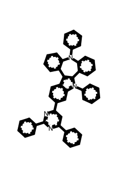 c1ccc(-c2cc(-c3ccc4c5c(n(-c6ccccc6)c4c3)-c3ccccc3N(c3ccccc3)c3ccccc3-5)nc(-c3ccccc3)n2)cc1